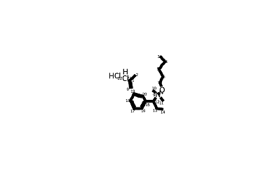 C=CC.CCCCCO[N+](C)(C)C(CC)c1ccccc1.Cl.Cl